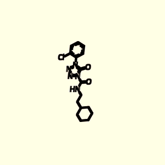 O=C(NCCC1CCCCC1)n1nnn(-c2ccccc2Cl)c1=O